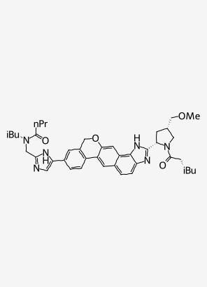 CCCC(=O)N(Cc1ncc(-c2ccc3c(c2)COc2cc4c(ccc5nc([C@@H]6C[C@H](COC)CN6C(=O)C[C@@H](C)CC)[nH]c54)cc2-3)[nH]1)[C@@H](C)CC